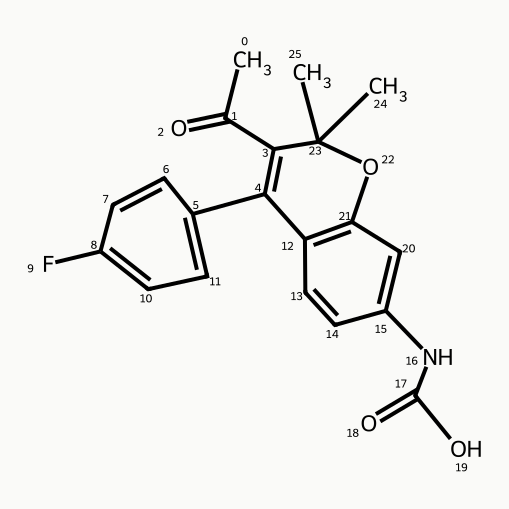 CC(=O)C1=C(c2ccc(F)cc2)c2ccc(NC(=O)O)cc2OC1(C)C